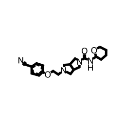 N#Cc1ccc(OCCN2CC3CN(C(=O)NC4CCCCO4)CC3C2)cc1